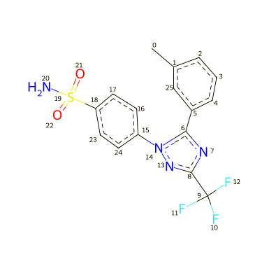 Cc1cccc(-c2nc(C(F)(F)F)nn2-c2ccc(S(N)(=O)=O)cc2)c1